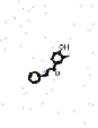 Cc1cc(C(=O)/C=C/c2ccccc2)ccc1O